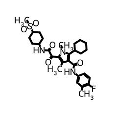 Cc1cc(NC(=O)c2c(C)c(C(=O)C(=O)NC3CCC(S(C)(=O)=O)CC3)n(C)c2C2CCCCC2)ccc1F